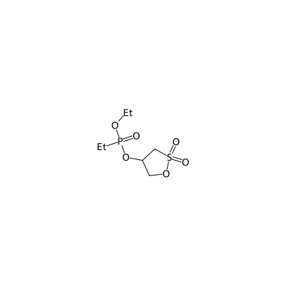 CCOP(=O)(CC)OC1COS(=O)(=O)C1